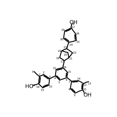 Cc1cc(-c2cc(-c3ccc(O)c(C)c3)cc(C3CC4CC3CC4c3ccc(O)cc3)c2)ccc1O